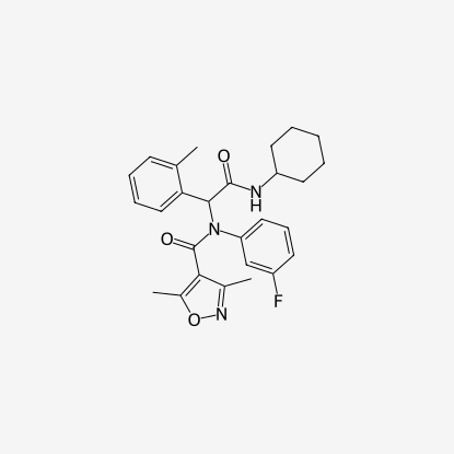 Cc1ccccc1C(C(=O)NC1CCCCC1)N(C(=O)c1c(C)noc1C)c1cccc(F)c1